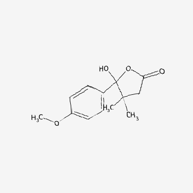 COc1ccc(C2(O)OC(=O)CC2(C)C)cc1